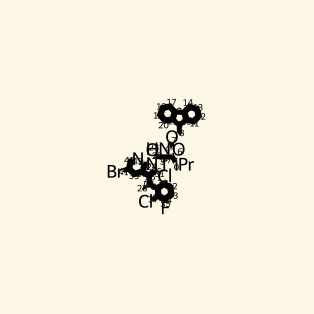 CC(C)C[C@@](I)(NC(=O)OCC1c2ccccc2-c2ccccc21)C(=O)n1cc([C@H](C)c2c(Cl)ccc(F)c2Cl)c2cc(Br)cnc21